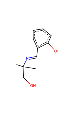 CC(C)(CO)N=Cc1ccccc1O